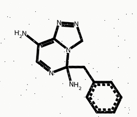 NC1=C2N=NCN2C(N)(Cc2ccccc2)N=C1